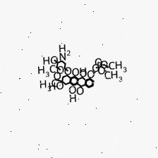 CCOP(=O)(OCC)OCOc1cccc2c1C(=O)c1c(O)c3c(c(O)c1C2=O)C[C@@](O)(C(C)=O)C[C@@H]3OC1CC(N)C(O)C(C)O1